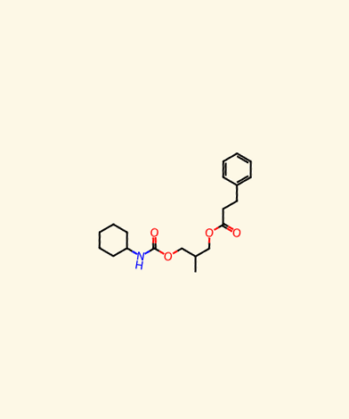 CC(COC(=O)CCc1ccccc1)COC(=O)NC1CCCCC1